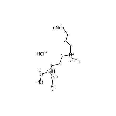 CCCCCCCCCCCCN(C)CCC[SiH](OCC)OCC.Cl